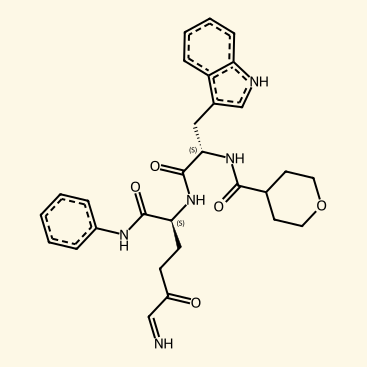 N=CC(=O)CC[C@H](NC(=O)[C@H](Cc1c[nH]c2ccccc12)NC(=O)C1CCOCC1)C(=O)Nc1ccccc1